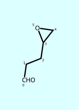 O=C[CH]CC1CO1